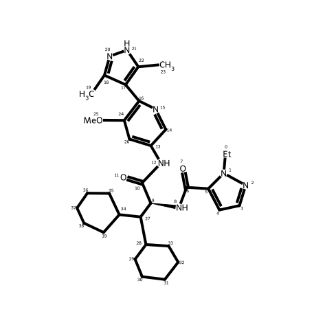 CCn1nccc1C(=O)N[C@H](C(=O)Nc1cnc(-c2c(C)n[nH]c2C)c(OC)c1)C(C1CCCCC1)C1CCCCC1